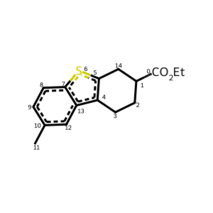 CCOC(=O)C1CCc2c(sc3ccc(C)cc23)C1